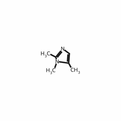 Cc1cnc(C)n1C